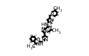 Cc1cn2c(-c3cnn(CC(=O)N[C@@H](C)c4ccccc4)c3)cnc2c(Nc2cc(CN3CCCC(C)C3)ns2)n1